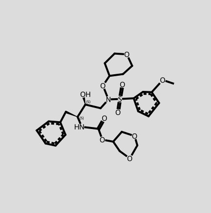 COc1cccc(S(=O)(=O)N(C[C@H](O)[C@H](Cc2ccccc2)NC(=O)OC2COCOC2)OC2CCOCC2)c1